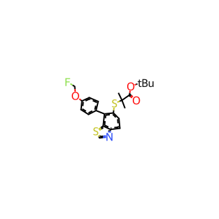 CC(C)(C)OC(=O)C(C)(C)Sc1ccc2ncsc2c1-c1ccc(OCF)cc1